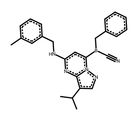 Cc1cccc(CNc2cc(B(C#N)Cc3ccccc3)n3ncc(C(C)C)c3n2)c1